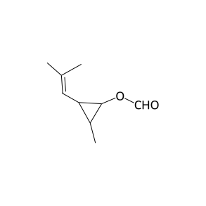 CC(C)=CC1C(C)C1OC=O